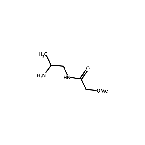 COCC(=O)NCC(C)N